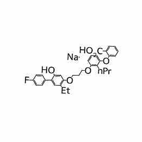 CCCc1c(OCCCOc2cc(O)c(-c3ccc(F)cc3)cc2CC)cccc1Oc1ccccc1C(=O)O.[Na]